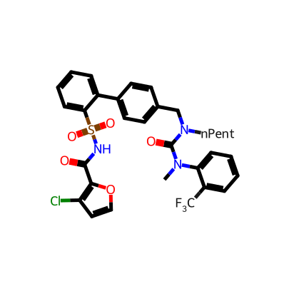 CCCCCN(Cc1ccc(-c2ccccc2S(=O)(=O)NC(=O)c2occc2Cl)cc1)C(=O)N(C)c1ccccc1C(F)(F)F